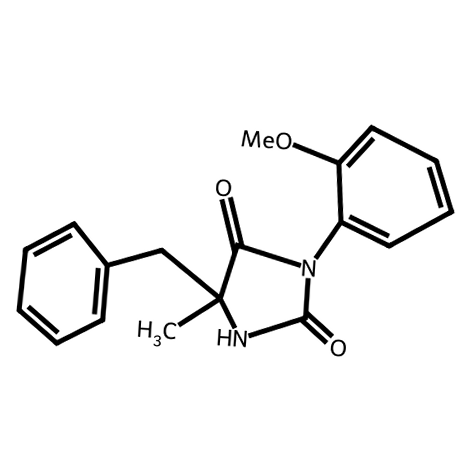 COc1ccccc1N1C(=O)NC(C)(Cc2ccccc2)C1=O